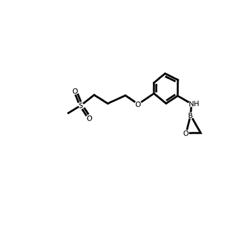 CS(=O)(=O)CCCOc1cccc(NB2CO2)c1